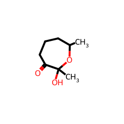 CC1CCCC(=O)C(C)(O)O1